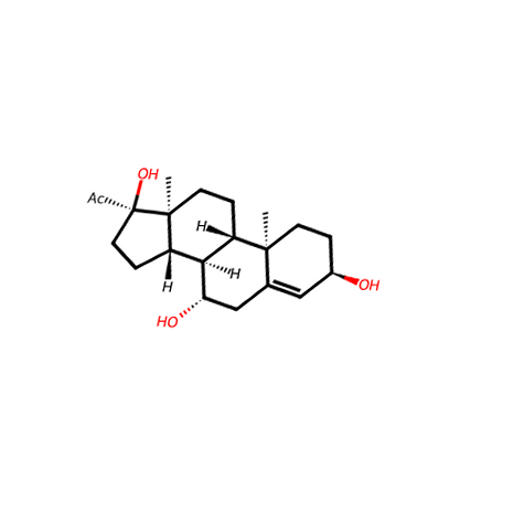 CC(=O)[C@@]1(O)CC[C@H]2[C@@H]3[C@@H](O)CC4=C[C@H](O)CC[C@]4(C)[C@H]3CC[C@@]21C